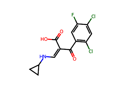 O=C(O)/C(=C\NC1CC1)C(=O)c1cc(F)c(Cl)cc1Cl